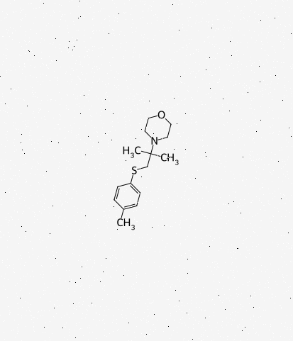 Cc1ccc(SCC(C)(C)N2CCOCC2)cc1